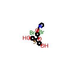 O=C(c1cc(Br)c(OCCN2CCCCC2)c(Br)c1)c1c(-c2ccc(O)cc2)sc2cc(O)ccc12